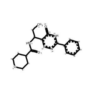 CCC(NC(=O)C1CCOCC1)c1nnc(-c2ccccc2)[nH]c1=O